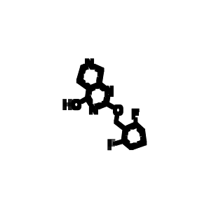 Oc1nc(OCc2c(F)cccc2F)nc2cnccc12